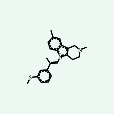 CSc1cccc(C(C)=Cn2c3c(c4cc(C)ccc42)CN(C)CC3)c1